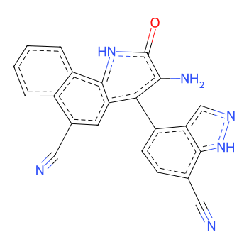 N#Cc1cc2c(-c3ccc(C#N)c4[nH]ncc34)c(N)c(=O)[nH]c2c2ccccc12